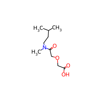 CC(C)CCN(C)C(=O)COCC(=O)O